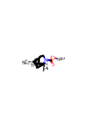 CC(C)(C)OC(=O)N1CC2C[C@H]1C[C@@H]2C#N